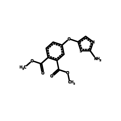 COC(=O)c1ccc(Oc2cnc(N)s2)cc1C(=O)OC